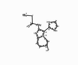 CC(C)(C)CC(=O)Nc1nc2ccc(F)cn2c1-c1nccs1